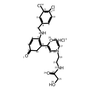 Cl.O=C1C=CC(NCc2ccc(Cl)c(Cl)c2)=C(C2=CN(CCNC(=O)CO)C=CO2)C1